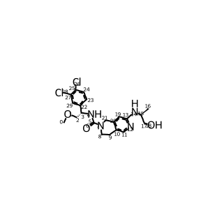 COC[C@@H](NC(=O)N1CCc2cnc(N[C@@H](C)CO)cc2C1)c1ccc(Cl)c(Cl)c1